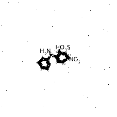 NN(c1ccccc1)c1ccc([N+](=O)[O-])cc1S(=O)(=O)O